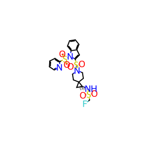 O=S(=O)(CF)N[C@H]1CC12CCN(S(=O)(=O)c1cc3ccccc3n1S(=O)(=O)c1ccccn1)CC2